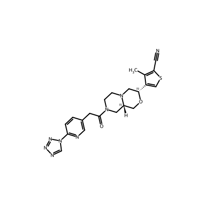 Cc1c([C@H]2CN3CCN(C(=O)Cc4ccc(-n5cnnn5)nc4)C[C@H]3CO2)csc1C#N